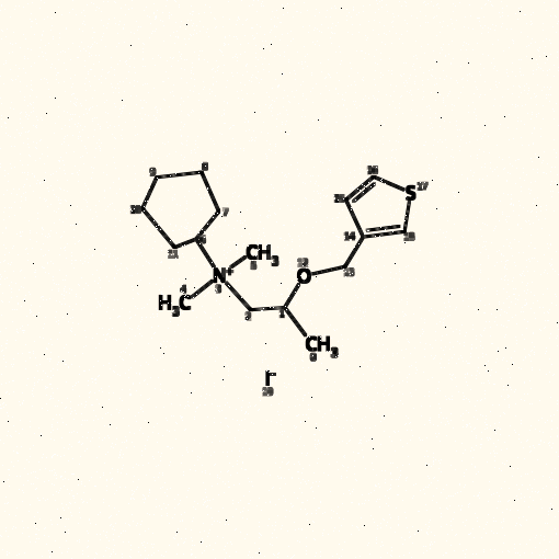 CC(C[N+](C)(C)C1CCCCC1)OCc1ccsc1.[I-]